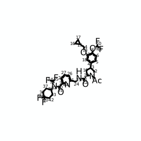 CC(=O)N1CC(c2ccc(OC(F)F)c(OCC3CC3)c2)C[C@@H]1C(=O)NCc1cccc(C(=O)N(C(F)F)C2CCC(F)(F)CC2)n1